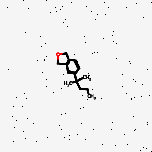 CCCC(C)(C)c1ccc2c(c1)COC2